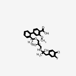 COc1cc(-c2ccccc2[C@@H](C)OC[C@H](O)CNC(C)(C)Cc2ccc(Cl)c(F)c2)ccc1C(=O)O